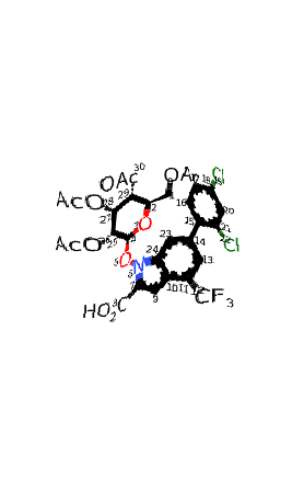 CC(=O)OC[C@H]1O[C@@H](On2c(C(=O)O)cc3c(C(F)(F)F)cc(-c4ccc(Cl)cc4Cl)cc32)[C@H](OC(C)=O)[C@@H](OC(C)=O)[C@@H]1OC(C)=O